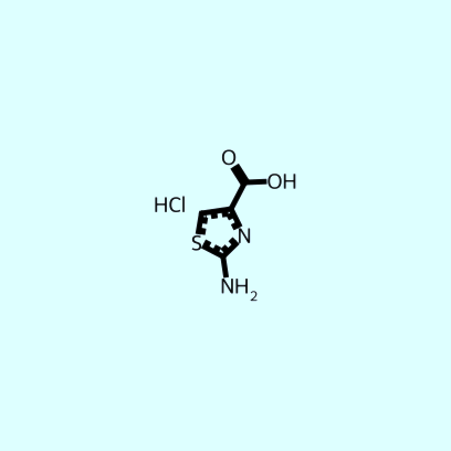 Cl.Nc1nc(C(=O)O)cs1